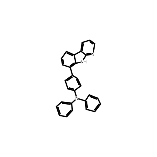 c1ccc(N(c2ccccc2)c2ccc(-c3cccc4c3[nH]c3ncccc34)cc2)cc1